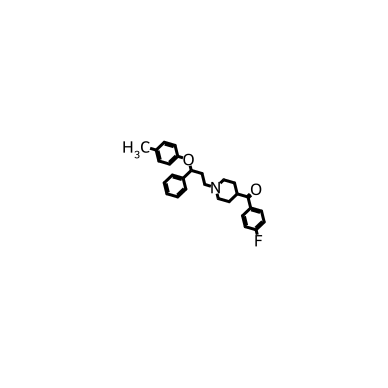 Cc1ccc(OC(CCN2CCC(C(=O)c3ccc(F)cc3)CC2)c2ccccc2)cc1